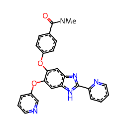 CNC(=O)c1ccc(Oc2cc3nc(-c4ccccn4)[nH]c3cc2Oc2cccnc2)cc1